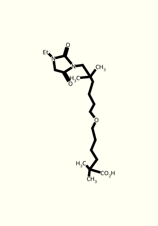 CCN1CC(=O)N(CC(C)(C)CCCCOCCCCC(C)(C)C(=O)O)C1=O